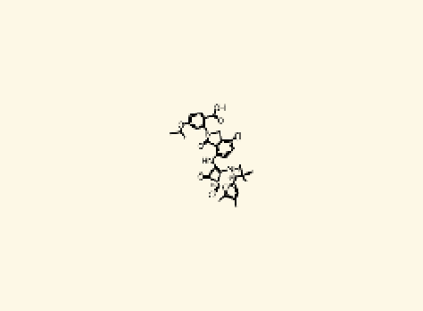 Cc1cc([C@H](NC2=C(Nc3ccc(Cl)c4c3C(=O)N(c3cc(OC(C)C)ccc3C(=O)O)C4)C(=O)[C@@H]2C=O)C(C)(C)C)oc1C